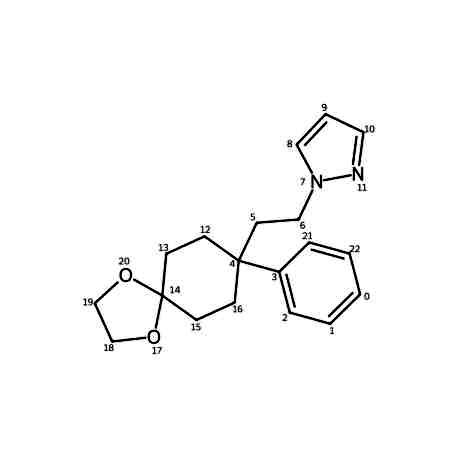 c1ccc(C2(CCn3cccn3)CCC3(CC2)OCCO3)cc1